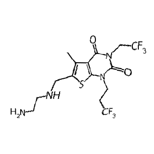 Cc1c(CNCCN)sc2c1c(=O)n(CC(F)(F)F)c(=O)n2CCC(F)(F)F